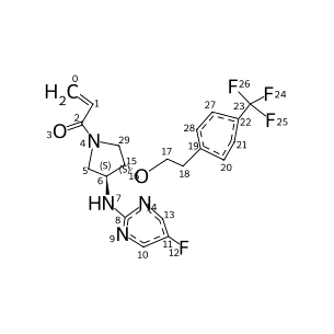 C=CC(=O)N1C[C@H](Nc2ncc(F)cn2)[C@@H](OCCc2ccc(C(F)(F)F)cc2)C1